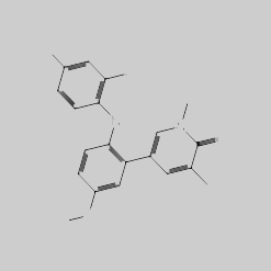 CCSc1ccc(Nc2ccc(F)cc2F)c(-c2cc(C)c(=O)n(C)c2)c1